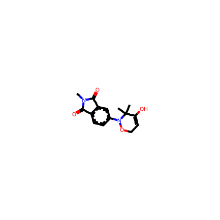 CN1C(=O)c2ccc(N3OCC=C(O)C3(C)C)cc2C1=O